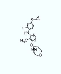 Cc1c(Nc2ccc(SC3CC3)cc2F)ncnc1OC1CC2COCC(C1)N2